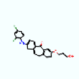 O=C1C2=CC=C(Nc3ccc(F)cc3F)CC2=CCc2ccc(OCCCO)cc21